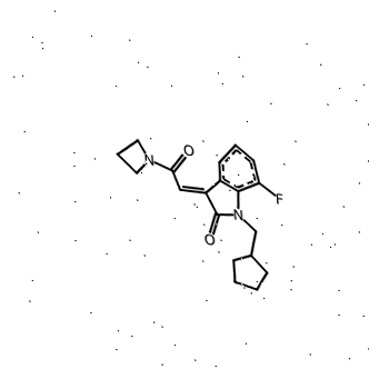 O=C(/C=C1/C(=O)N(CC2CCCC2)c2c(F)cccc21)N1CCC1